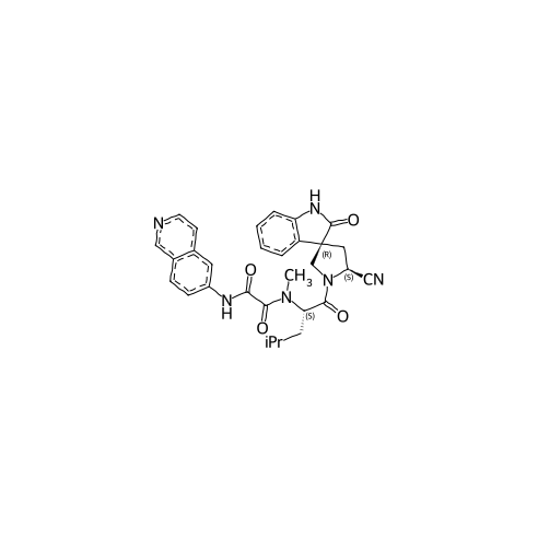 CC(C)C[C@@H](C(=O)N1C[C@]2(C[C@H]1C#N)C(=O)Nc1ccccc12)N(C)C(=O)C(=O)Nc1ccc2cnccc2c1